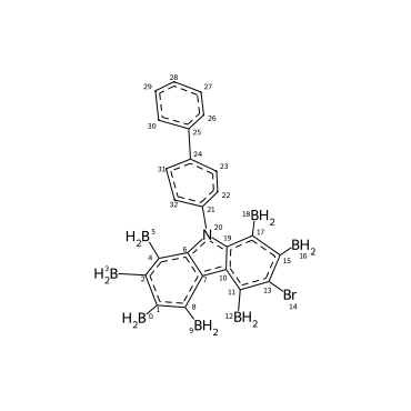 Bc1c(B)c(B)c2c(c1B)c1c(B)c(Br)c(B)c(B)c1n2-c1ccc(-c2ccccc2)cc1